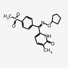 Cc1ccc(/C(=N\OC2CCCC2)c2ccc(S(C)(=O)=O)cc2)[nH]c1=O